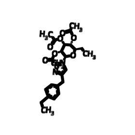 CCc1ccc(Cc2cn([C@@H]3O[C@H](CC)[C@@H](OC(C)=O)[C@H](OC(C)=O)[C@H]3OC(C)=O)nn2)cc1